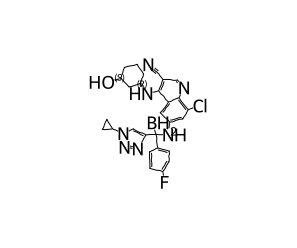 BC(Nc1cc(Cl)c2ncc(C#N)c(N[C@@H]3CCC[C@H](O)C3)c2c1)(c1ccc(F)cc1)c1cn(C2CC2)nn1